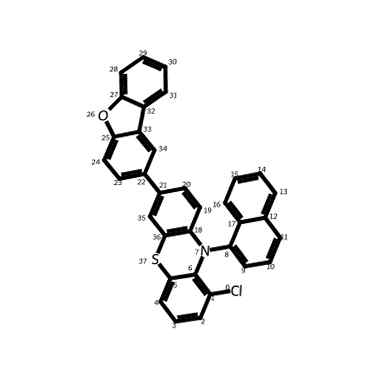 Clc1cccc2c1N(c1cccc3ccccc13)c1ccc(-c3ccc4oc5ccccc5c4c3)cc1S2